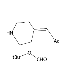 CC(=O)C=C1CCNCC1.CC(C)(C)OC=O